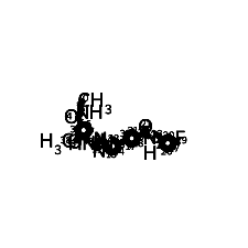 CCNC(=O)c1ccc(Nc2nc3ccc(-c4ccc(C(=O)NCc5cccc(F)c5)cc4)cn3n2)c(OC)c1